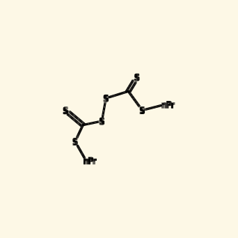 CCCSC(=S)SSC(=S)SCCC